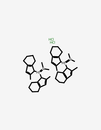 CC1=CC2=C(CCCC2)[CH]1[Hf]([CH]1C(C)=CC2=C1CCCC2)=[Si](C)C.CC1=CC2=C(CCCC2)[CH]1[Hf]([CH]1C(C)=CC2=C1CCCC2)=[Si](C)C.Cl.Cl